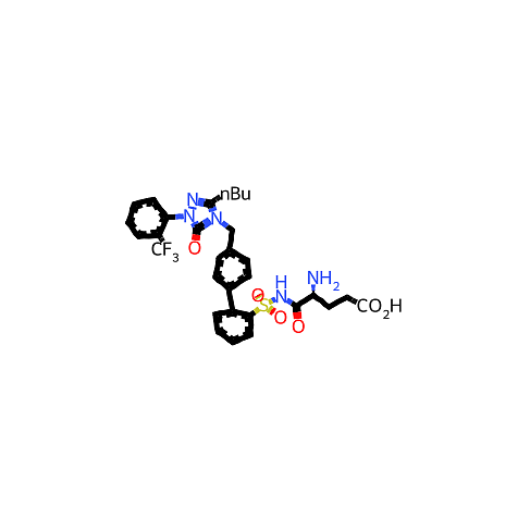 CCCCc1nn(-c2ccccc2C(F)(F)F)c(=O)n1Cc1ccc(-c2ccccc2S(=O)(=O)NC(=O)[C@@H](N)CCC(=O)O)cc1